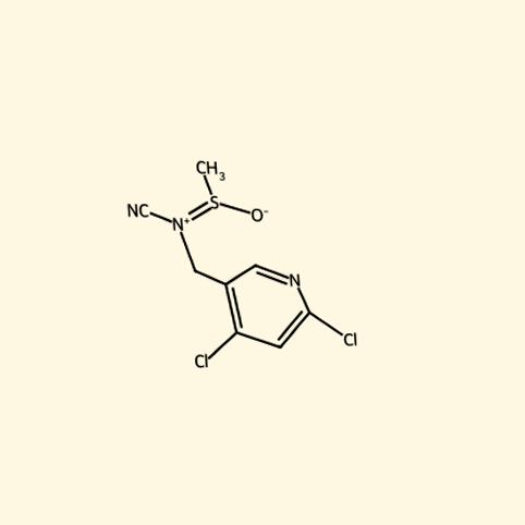 CS([O-])=[N+](C#N)Cc1cnc(Cl)cc1Cl